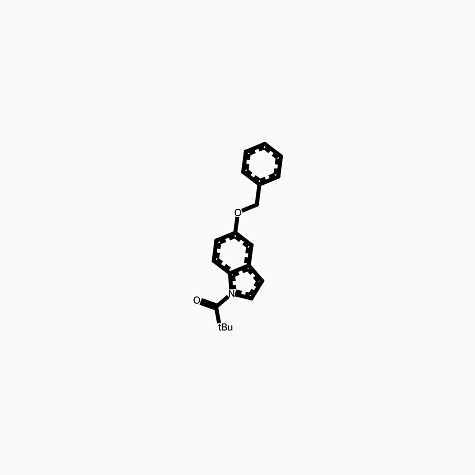 CC(C)(C)C(=O)n1ccc2cc(OCc3ccccc3)ccc21